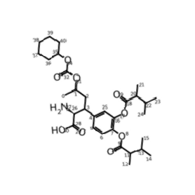 CC(CC(c1ccc(OC(=O)C(C)C(C)C)c(OC(=O)C(C)C(C)C)c1)[C@H](N)C(=O)O)OC(=O)OC1CCCCC1